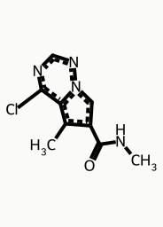 CNC(=O)c1cn2ncnc(Cl)c2c1C